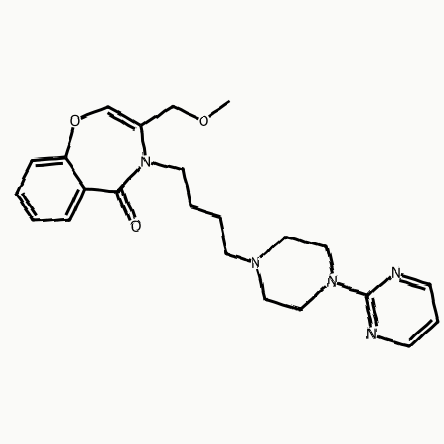 COCC1=COc2ccccc2C(=O)N1CCCCN1CCN(c2ncccn2)CC1